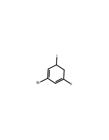 FC1=CC(Br)=CC(I)C1